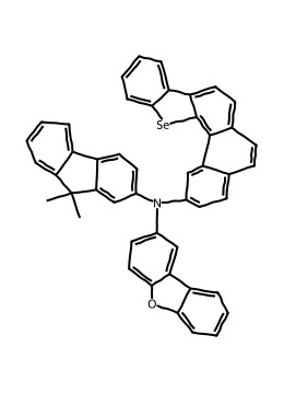 CC1(C)c2ccccc2-c2ccc(N(c3ccc4oc5ccccc5c4c3)c3ccc4ccc5ccc6c7ccccc7[se]c6c5c4c3)cc21